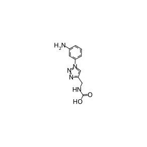 Nc1cccc(-n2cc(CNC(=O)O)nn2)c1